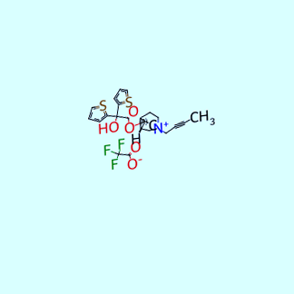 CC#CC[N+]12CCC(CC1)[C@@H](OC(=O)C(O)(c1cccs1)c1cccs1)C2.O=C([O-])C(F)(F)F